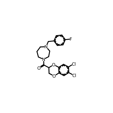 O=C(C1COc2cc(Cl)c(Cl)cc2O1)N1CCCN(Cc2ccc(F)cc2)CC1